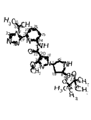 COc1nn(C2CNC(B3OC(C)(C)C(C)(C)O3)C2)cc1C(=O)Nc1cccc(-c2nncn2C(C)C)n1